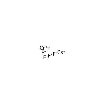 [Cr+3].[Cs+].[F-].[F-].[F-].[F-]